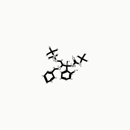 CC(C)(C)OC(=O)N[C@](C)(c1ccccc1F)C(CO[Si](C)(C)C(C)(C)C)OCc1ccccc1